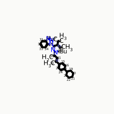 C=C(C)C(=C\C)/C(=N\N(C(=C)/C=C(\C)c1ccc(C2CCCCC2)cc1)C(C)CC)n1nnc2ccccc21